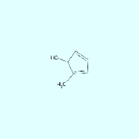 CC1=CC=CC1O